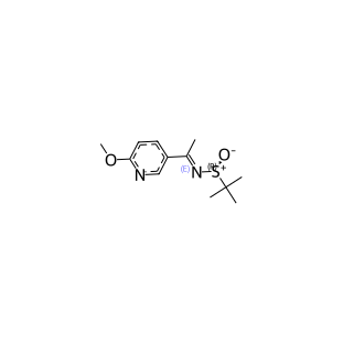 COc1ccc(/C(C)=N/[S@@+]([O-])C(C)(C)C)cn1